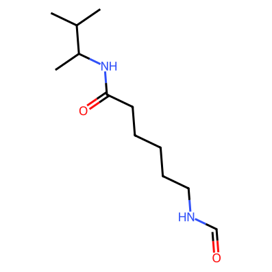 CC(C)C(C)NC(=O)CCCCCNC=O